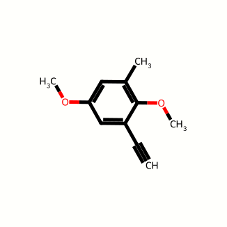 C#Cc1cc(OC)cc(C)c1OC